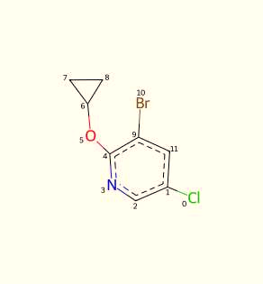 Clc1cnc(OC2CC2)c(Br)c1